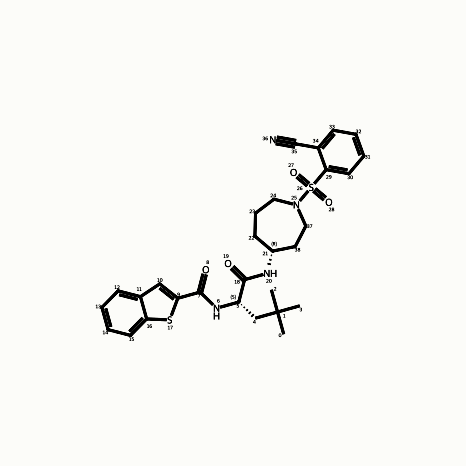 CC(C)(C)C[C@H](NC(=O)c1cc2ccccc2s1)C(=O)N[C@@H]1CCCN(S(=O)(=O)c2ccccc2C#N)CC1